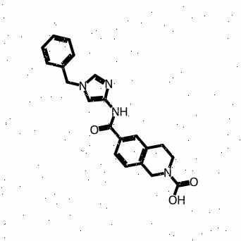 O=C(Nc1cn(Cc2ccccc2)cn1)c1ccc2c(c1)CCN(C(=O)O)C2